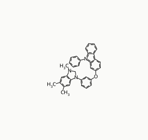 Cc1cc2c(cc1C)N(c1cccc(Oc3ccc4c5ccccc5n(-c5ccccc5)c4c3)c1)CN2C